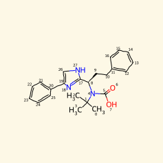 CC(C)(C)N(C(=O)O)[C@H](CCc1ccccc1)c1nc(-c2ccccc2)c[nH]1